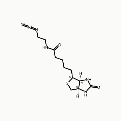 [N-]=[N+]=NCCNC(=O)CCCC[C@@H]1SC[C@@H]2NC(=O)N[C@@H]21